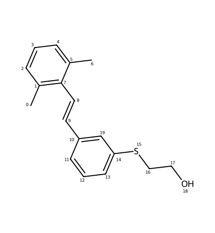 Cc1cccc(C)c1/C=C/c1cccc(SCCO)c1